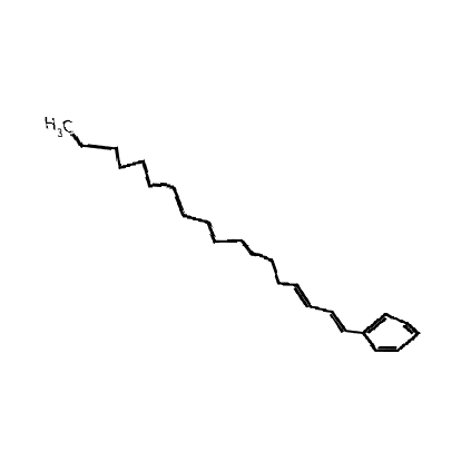 CCCCCCCCCCCCCCC=CC=Cc1ccccc1